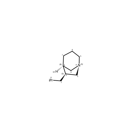 CC(C)C[C@@H]1C[N@]2CCC[C@H]1C2